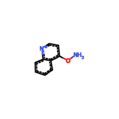 NOc1ccnc2ccccc12